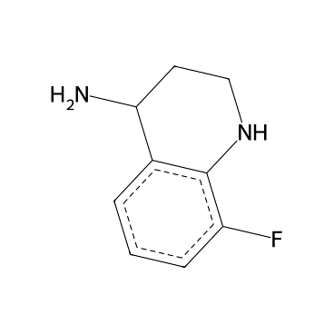 NC1CCNc2c(F)cccc21